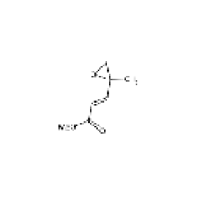 COC(=O)C=CC1(C)CO1